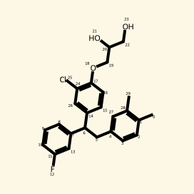 Cc1ccc(CC(c2cccc(F)c2)c2ccc(OCC(O)CO)c(Cl)c2)cc1C